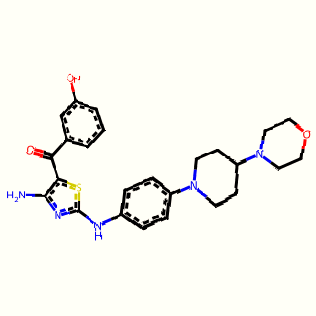 Nc1nc(Nc2ccc(N3CCC(N4CCOCC4)CC3)cc2)sc1C(=O)c1cccc(O)c1